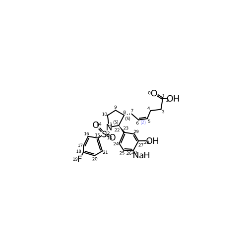 O=C(O)CC/C=C\C[C@H]1CCN(S(=O)(=O)c2ccc(F)cc2)[C@@H]1c1cccc(O)c1.[NaH]